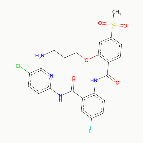 CS(=O)(=O)c1ccc(C(=O)Nc2ccc(F)cc2C(=O)Nc2ccc(Cl)cn2)c(OCCCN)c1